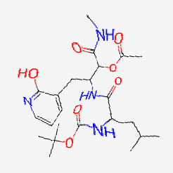 CNC(=O)C(OC(C)=O)C(Cc1cccnc1O)NC(=O)C(CC(C)C)NC(=O)OC(C)(C)C